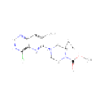 COc1cc2ncnc(Cl)c2nc1N1CCN(C(=O)OC(C)(C)C)C2(CC2)C1